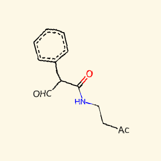 CC(=O)CCNC(=O)C(C=O)c1ccccc1